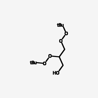 CC(C)(C)OOCC(CO)OOC(C)(C)C